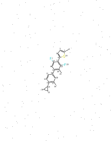 Cc1ccc(-c2c(F)cc(-c3ccc(C4CC4)c(C)c3)c(C)c2F)s1